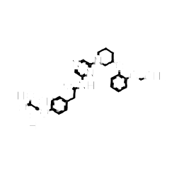 CCOc1ccccc1O[C@@H]1CCCN(c2cncc(NC(=O)Cc3ccc(OC(C)(C)C(=O)O)cc3)n2)C1